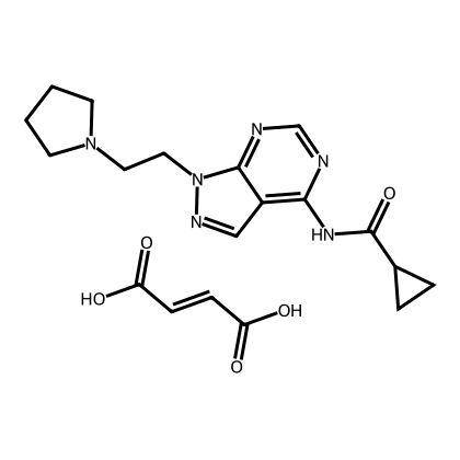 O=C(Nc1ncnc2c1cnn2CCN1CCCC1)C1CC1.O=C(O)C=CC(=O)O